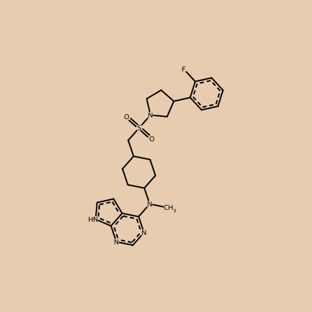 CN(c1ncnc2[nH]ccc12)C1CCC(CS(=O)(=O)N2CCC(c3ccccc3F)C2)CC1